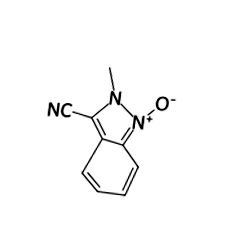 Cn1c(C#N)c2ccccc2[n+]1[O-]